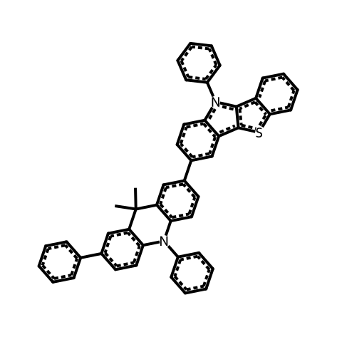 CC1(C)c2cc(-c3ccccc3)ccc2N(c2ccccc2)c2ccc(-c3ccc4c(c3)c3sc5ccccc5c3n4-c3ccccc3)cc21